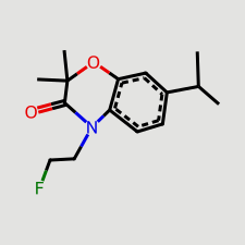 CC(C)c1ccc2c(c1)OC(C)(C)C(=O)N2CCF